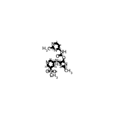 Cc1nccc(NC(=O)Oc2nc(C)sc2Nc2cncc(S(C)(=O)=O)c2)n1